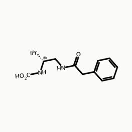 CC(C)[C@H](CNC(=O)Cc1ccccc1)NC(=O)O